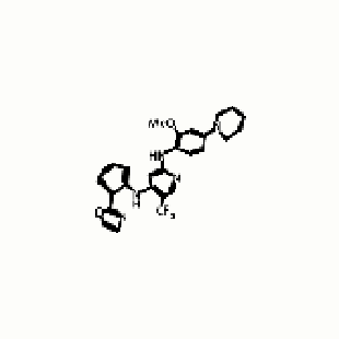 COc1cc(N2CCCCC2)ccc1Nc1cc(Nc2ccccc2-c2ncco2)c(C(F)(F)F)cn1